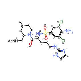 CC(=O)NCC1CC(C)CCN1C(=O)[C@H](CCCNc1ncc[nH]1)NS(=O)(=O)c1cc(Cl)c(N)c(Cl)c1